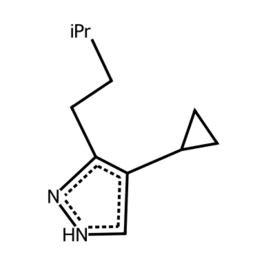 CC(C)CCc1n[nH]cc1C1CC1